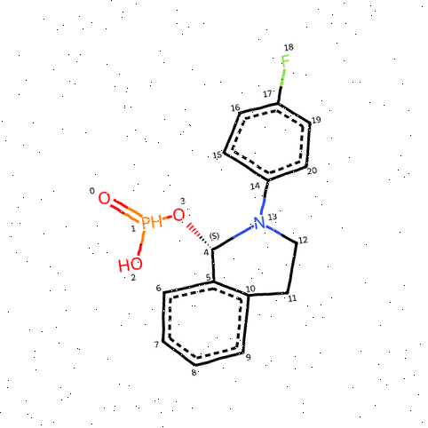 O=[PH](O)O[C@H]1c2ccccc2CCN1c1ccc(F)cc1